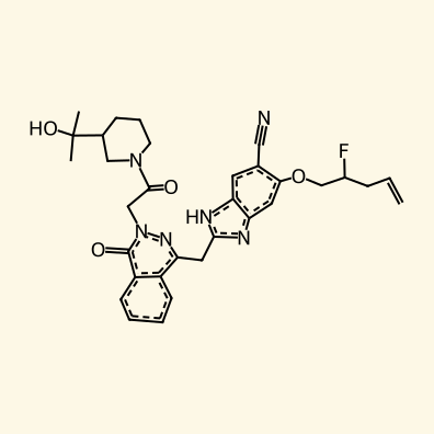 C=CCC(F)COc1cc2nc(Cc3nn(CC(=O)N4CCCC(C(C)(C)O)C4)c(=O)c4ccccc34)[nH]c2cc1C#N